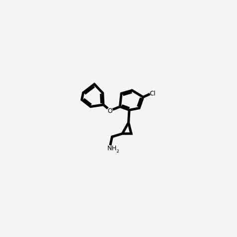 NCC1CC1c1cc(Cl)ccc1Oc1ccccc1